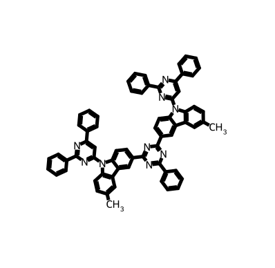 Cc1ccc2c(c1)c1cc(-c3nc(-c4ccccc4)nc(-c4ccc5c(c4)c4cc(C)ccc4n5-c4cc(-c5ccccc5)nc(-c5ccccc5)n4)n3)ccc1n2-c1cc(-c2ccccc2)nc(-c2ccccc2)n1